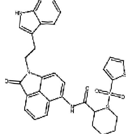 O=C(Nc1ccc2c3c(cccc13)C(=O)N2CCc1c[nH]c2ccccc12)C1CCCCN1S(=O)(=O)c1cccs1